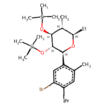 CC[C@H]1O[C@@H](c2cc(Br)c(C(C)C)cc2C)[C@H](O[Si](C)(C)C)[C@@H](O[Si](C)(C)C)[C@@H]1C